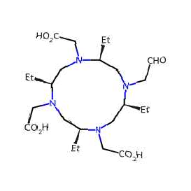 CC[C@H]1CN(CC(=O)O)[C@@H](CC)CN(CC(=O)O)[C@@H](CC)CN(CC(=O)O)[C@@H](CC)CN1CC=O